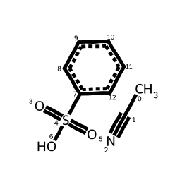 CC#N.O=S(=O)(O)c1ccccc1